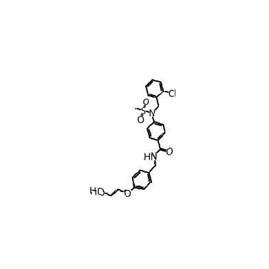 CS(=O)(=O)N(Cc1ccccc1Cl)c1ccc(C(=O)NCc2ccc(OCCO)cc2)cc1